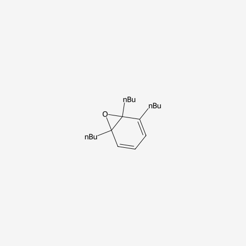 CCCCC1=CC=CC2(CCCC)OC12CCCC